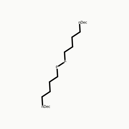 CCCCCCCCCCCCCC[P][P]CCCCCCCCCCCCCC